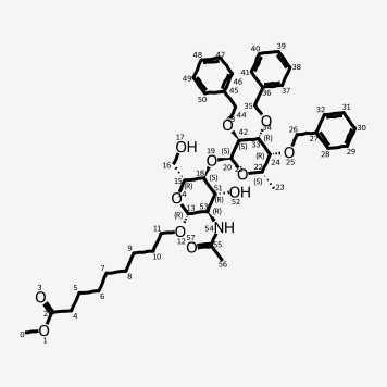 COC(=O)CCCCCCCCO[C@@H]1O[C@H](CO)[C@@H](O[C@@H]2O[C@@H](C)[C@@H](OCc3ccccc3)[C@@H](OCc3ccccc3)[C@@H]2OCc2ccccc2)[C@H](O)[C@H]1NC(C)=O